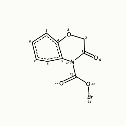 O=C1COc2ccccc2N1C(=O)OBr